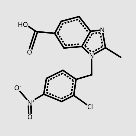 Cc1nc2ccc(C(=O)O)cc2n1Cc1ccc([N+](=O)[O-])cc1Cl